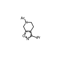 CC(=O)N1CCc2c(C(C)C)noc2C1